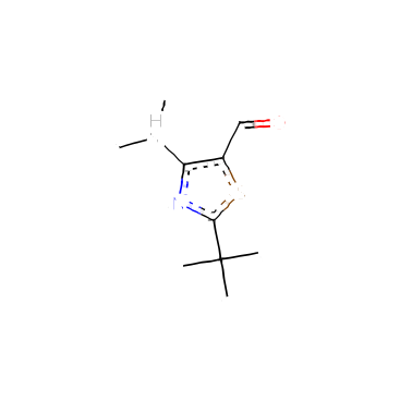 C[SiH](C)c1nc(C(C)(C)C)sc1C=O